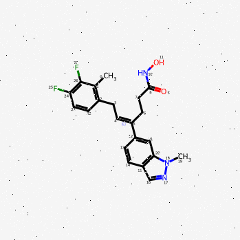 Cc1c(C/C=C(\CCC(=O)NO)c2ccc3cnn(C)c3c2)ccc(F)c1F